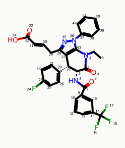 CCN1C(=O)[C@H](NC(=O)c2cccc(C(F)(F)F)c2)[C@H](c2ccc(F)cc2)c2c(C/C=C/C(=O)O)nn(-c3ccccc3)c21